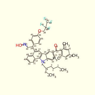 CCCCC(CC)Cn1c2ccc(C(=O)c3c(C)cc(C)cc3C)cc2c2cc(C(C=NO)c3ccc(OCC(F)(F)C(F)F)cc3)c3ccccc3c21